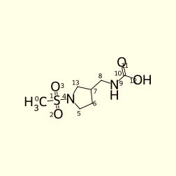 CS(=O)(=O)N1CCC(CNC(=O)O)C1